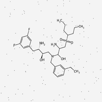 CCCC(CCC)S(=O)(=O)CC(N)C(O)N(Cc1cccc(CC)c1)C[C@@H](O)[C@@H](N)Cc1cc(F)cc(F)c1